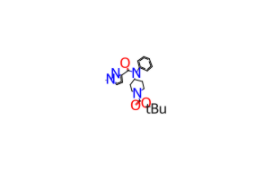 Cn1ccc(C(=O)N(c2ccccc2)C2CCN(C(=O)OC(C)(C)C)CC2)n1